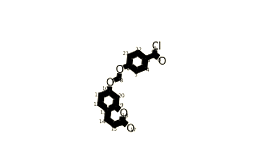 O=C(Cl)c1ccc(OCOc2ccc3ccc(=O)oc3c2)cc1